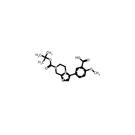 COc1ccc(-c2cnc3n2CCN(C(=O)OC(C)(C)C)C3)cc1C(=O)O